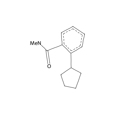 CNC(=O)c1ccccc1C1CCCC1